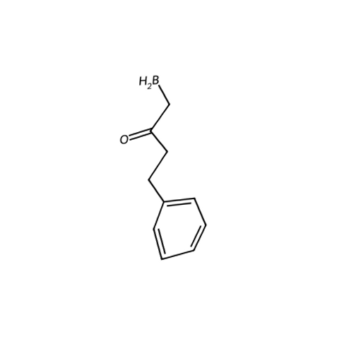 BCC(=O)CCc1ccccc1